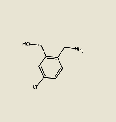 NCc1ccc(Cl)cc1CO